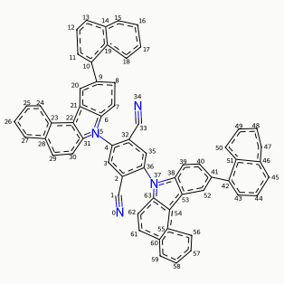 N#Cc1cc(-n2c3ccc(-c4cccc5ccccc45)cc3c3c4ccccc4ccc32)c(C#N)cc1-n1c2ccc(-c3cccc4ccccc34)cc2c2c3ccccc3ccc21